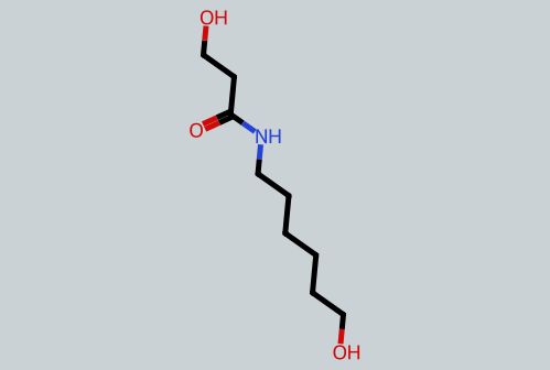 O=C(CCO)NCCCCCCO